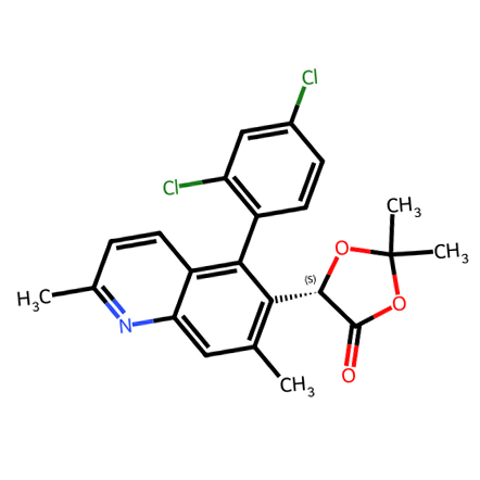 Cc1ccc2c(-c3ccc(Cl)cc3Cl)c([C@@H]3OC(C)(C)OC3=O)c(C)cc2n1